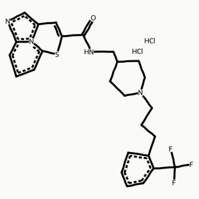 Cl.Cl.O=C(NCC1CCN(CCCc2ccccc2C(F)(F)F)CC1)C1=Cc2cnc3cccc(n23)S1